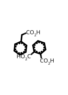 O=C(O)Cc1ccccc1.O=C(O)c1ccccc1C(=O)O